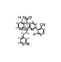 N#Cc1cccc(F)c1-c1ccc(C(C(N)=O)c2cccnc2)c(NCCc2cccc(F)c2)n1